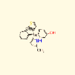 COc1ccccc1[C@](c1ccc(O)cc1)(c1ccsc1)c1ccc(C)[nH]1